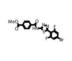 COC(=O)c1ccc(C(=O)Nc2nnc(-c3c(F)cc(Br)cc3F)s2)cc1